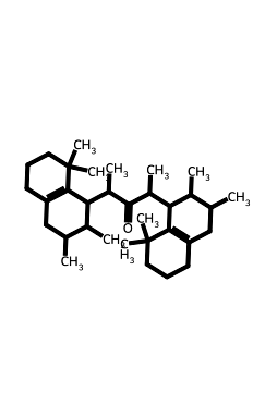 CC1CC2=C(C(C(C)C(=O)C(C)C3C4=C(CCCC4(C)C)CC(C)C3C)C1C)C(C)(C)CCC2